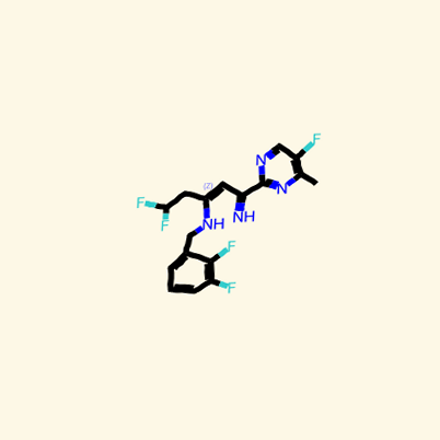 Cc1nc(C(=N)/C=C(/CC(F)F)NCc2cccc(F)c2F)ncc1F